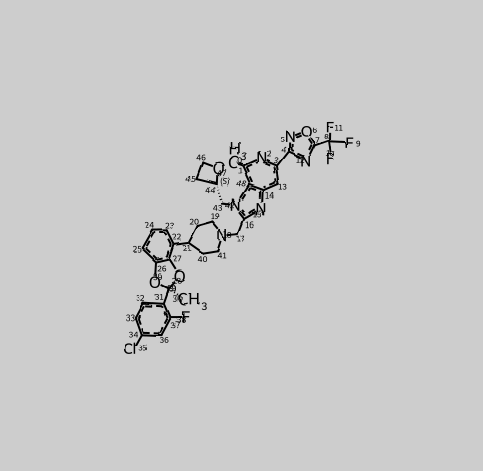 Cc1nc(-c2noc(C(F)(F)F)n2)cc2nc(CN3CCC(c4cccc5c4O[C@@](C)(c4ccc(Cl)cc4F)O5)CC3)n(C[C@@H]3CCO3)c12